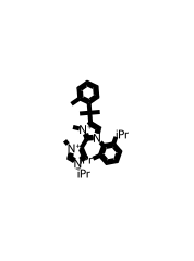 Cc1ccccc1C(C)(C)c1cn(-c2c(C(C)C)cccc2C(C)C)c(-c2cn(C(C)C)c[n+]2C)[n+]1C